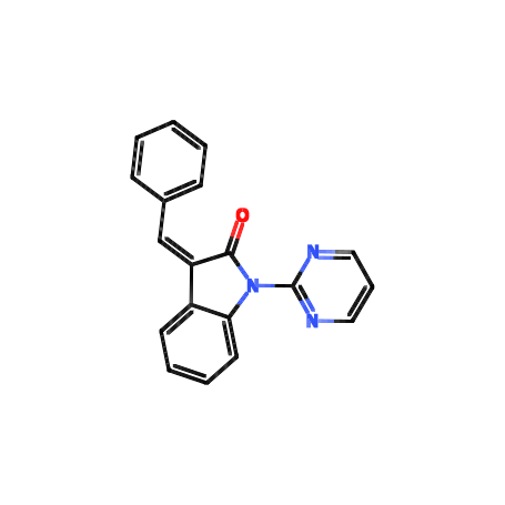 O=C1C(=Cc2ccccc2)c2ccccc2N1c1ncccn1